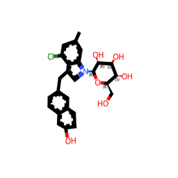 Cc1cc(Cl)c2c(Cc3ccc4cc(O)ccc4c3)cn([C@@H]3O[C@H](CO)[C@@H](O)[C@H](O)[C@H]3O)c2c1